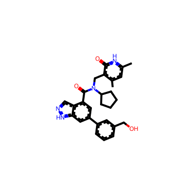 Cc1cc(C)c(CN(C(=O)c2cc(-c3cccc(CO)c3)cc3[nH]ncc23)C2CCCC2)c(=O)[nH]1